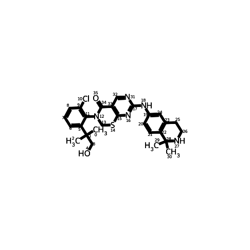 CC(C)(CO)c1cccc(Cl)c1N1CSc2nc(Nc3ccc4c(c3)CCNC4(C)C)ncc2C1=O